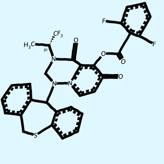 C[C@@H](N1CN(C2c3ccccc3CSc3ccccc32)n2ccc(=O)c(OC(=O)c3c(F)cccc3F)c2C1=O)C(F)(F)F